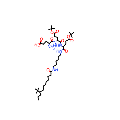 CCCC(CCCCCCCC(=O)NCCCCCCNC(=O)C(CCC(=O)OC(C)(C)C)NC(=O)C(CCC(=O)OC(C)(C)C)NC(=O)C(N)CCC(=O)O)C(C)(C)C